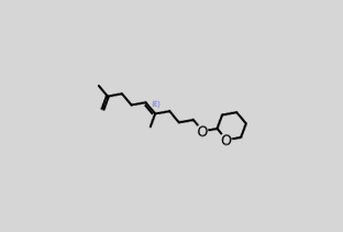 C=C(C)CC/C=C(\C)CCCOC1CCCCO1